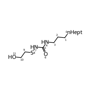 CCCCCCCCCCNC(=O)NSCCO